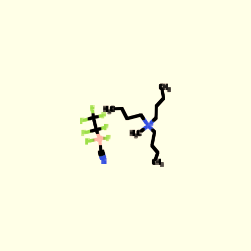 CCCC[N+](C)(CCCC)CCCC.N#C[B-](F)(F)C(F)(F)C(F)(F)F